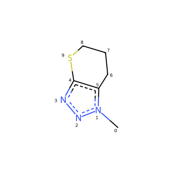 Cn1nnc2c1CCCS2